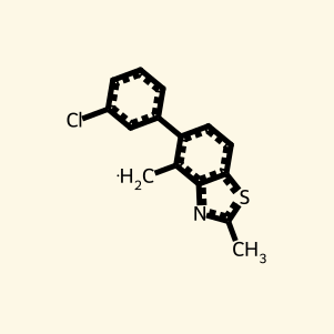 [CH2]c1c(-c2cccc(Cl)c2)ccc2sc(C)nc12